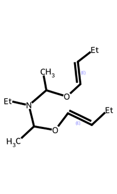 CC/C=C/OC(C)N(CC)C(C)O/C=C/CC